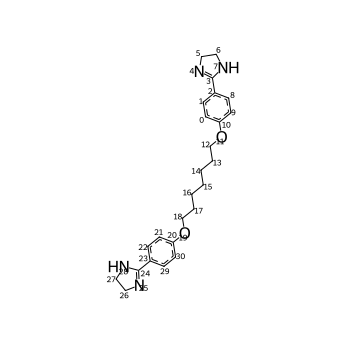 c1cc(C2=NCCN2)ccc1OCCCCCCCOc1ccc(C2=NCCN2)cc1